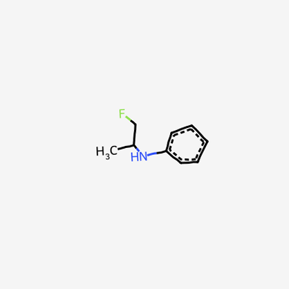 CC(CF)Nc1ccccc1